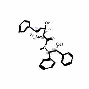 CN(C(=O)[C@@H](N)[C@](C)(O)/C=C/c1ccccc1)[C@H](c1ccccc1)[C@H](O)c1ccccc1